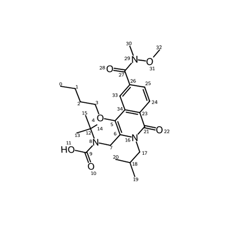 CCCCOc1c(CN(C(=O)O)C(C)(C)C)n(CC(C)C)c(=O)c2ccc(C(=O)N(C)OC)cc12